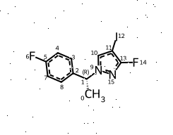 C[C@H](c1ccc(F)cc1)n1cc(I)c(F)n1